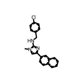 Cn1cc(-c2ccc3ccccc3c2)nc1NCc1ccc(Cl)cc1